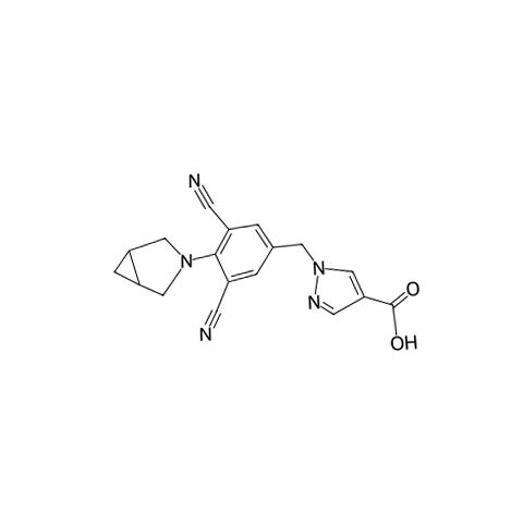 N#Cc1cc(Cn2cc(C(=O)O)cn2)cc(C#N)c1N1CC2CC2C1